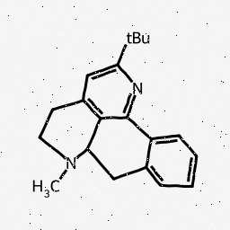 CN1CCc2cc(C(C)(C)C)nc3c2C1Cc1ccccc1-3